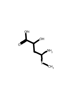 CSC(N)CC(O)C(=O)O